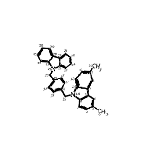 Cc1ccc2c(c1)c1cc(C)ccc1n2Cc1ccc(Cn2c3ccccc3c3ccccc32)cc1